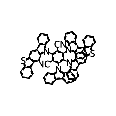 N#Cc1c(-n2c3ccccc3c3cc4sc5ccccc5c4cc32)c(C#N)c(-n2c3ccccc3c3ccccc32)c(-n2c3ccccc3c3cc4sc5ccccc5c4cc32)c1-n1c2ccccc2c2ccccc21